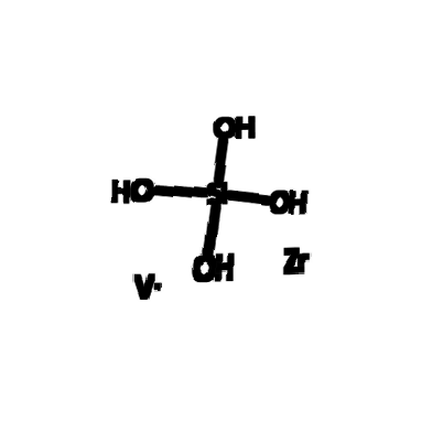 O[Si](O)(O)O.[V].[Zr]